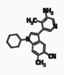 Cc1cc2c(cc1C#N)c(-c1cncc(N)c1C)cn2C1CCCCC1